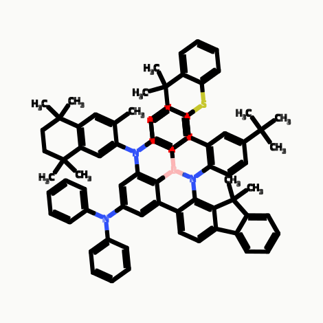 Cc1cc2c(cc1N1c3cc4c(cc3B3c5c(cc(N(c6ccccc6)c6ccccc6)cc51)-c1ccc5c(c1N3c1ccc(C(C)(C)C)cc1-c1ccccc1)C(C)(C)c1ccccc1-5)Sc1ccccc1C4(C)C)C(C)(C)CCC2(C)C